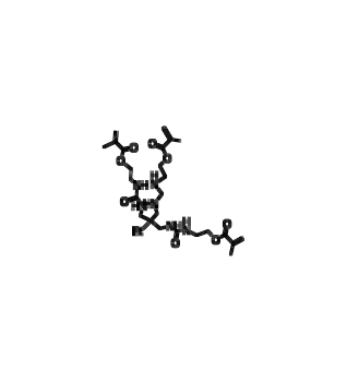 C=C(C)C(=O)OCCNCNCC(CC)(CNC(=O)NCCOC(=O)C(=C)C)CNC(=O)NCCOC(=O)C(=C)C